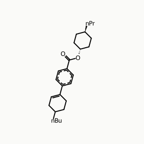 CCCCC1CC=C(c2ccc(C(=O)O[C@H]3CC[C@H](CCC)CC3)cc2)CC1